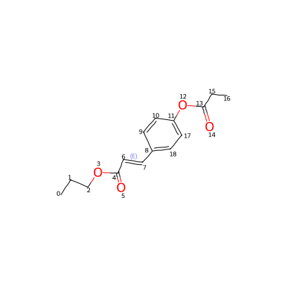 CCCOC(=O)/C=C/c1ccc(OC(=O)CC)cc1